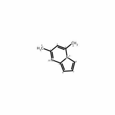 Cc1cc(C)n2cccc2n1